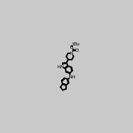 CC(C)(C)OC(=O)N1CCC(c2c[nH]c3cc(Nc4ccc5c(c4)CCC5)ccc23)CC1